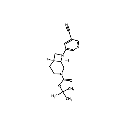 CC(C)(C)OC(=O)N1CC[C@H]2CN(c3cncc(C#N)c3)[C@H]2C1